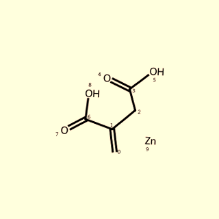 C=C(CC(=O)O)C(=O)O.[Zn]